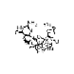 CC(C)(C)[Si](C)(C)OC(=C=O)[C@H]1O[C@@H](n2cnc3c(=O)[nH]c(N)nc32)[C@@](O)([Si](C)(C)C(C)(C)C)[C@@]1(O)[Si](C)(C)C(C)(C)C